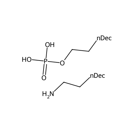 CCCCCCCCCCCCN.CCCCCCCCCCCCOP(=O)(O)O